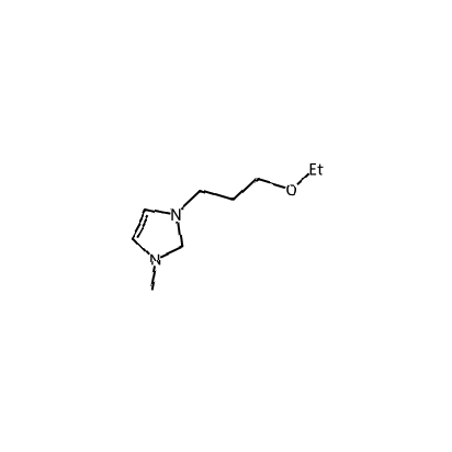 CCOCCCN1C=CN(C)C1